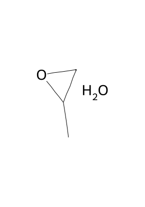 CC1CO1.O